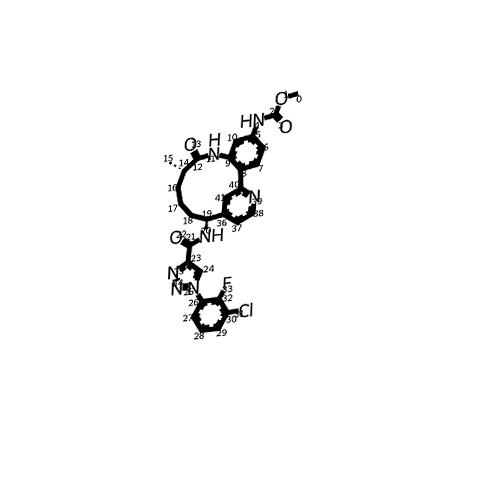 COC(=O)Nc1ccc2c(c1)NC(=O)[C@@H](C)CCC[C@H](NC(=O)c1cn(-c3cccc(Cl)c3F)nn1)c1ccnc-2c1